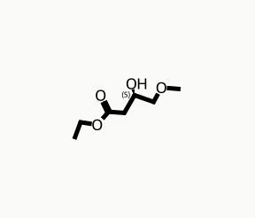 CCOC(=O)C[C@H](O)COC